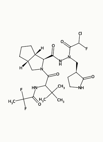 CC(F)(F)C(=O)NC(C(=O)N1C[C@@H]2CCC[C@@H]2[C@H]1C(=O)NN(C[C@@H]1CCNC1=O)C(=O)C(F)Cl)C(C)(C)C